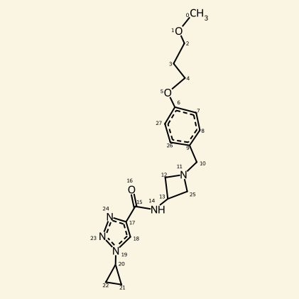 COCCCOc1ccc(CN2CC(NC(=O)c3cn(C4CC4)nn3)C2)cc1